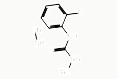 N#CN.N#CNC(=S)Nc1ccccc1F